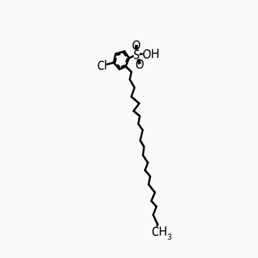 CCCCCCCCCCCCCCCCCCCCCCc1cc(Cl)ccc1S(=O)(=O)O